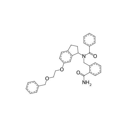 NC(=O)c1ccccc1CN(C(=O)c1ccccc1)C1CCc2ccc(OCCOCc3ccccc3)cc21